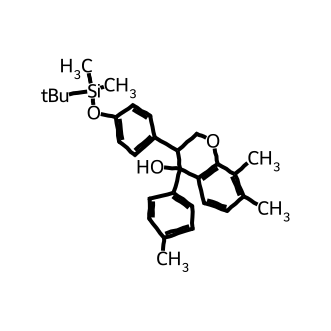 Cc1ccc(C2(O)c3ccc(C)c(C)c3OCC2c2ccc(O[Si](C)(C)C(C)(C)C)cc2)cc1